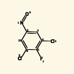 O=Nc1cc(Cl)c(F)c(Cl)c1